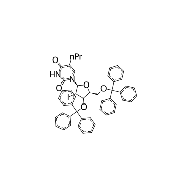 CCCc1cn([C@H]2O[C@@H](COC(c3ccccc3)(c3ccccc3)c3ccccc3)C(OC(c3ccccc3)(c3ccccc3)c3ccccc3)C2I)c(=O)[nH]c1=O